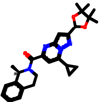 C[C@@H]1c2ccccc2CCN1C(=O)c1cc(C2CC2)n2nc(B3OC(C)(C)C(C)(C)O3)cc2n1